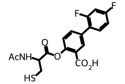 CC(=O)NC(CS)C(=O)Oc1ccc(-c2ccc(F)cc2F)cc1C(=O)O